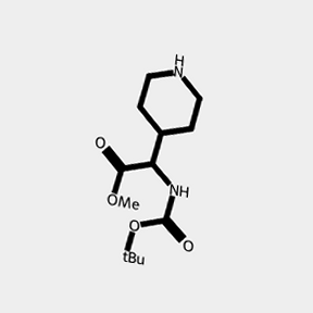 COC(=O)C(NC(=O)OC(C)(C)C)C1CCNCC1